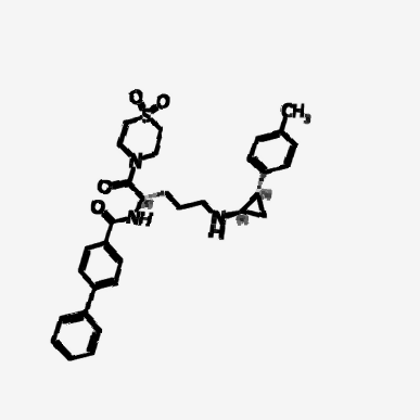 Cc1ccc([C@@H]2C[C@H]2NCCC[C@H](NC(=O)c2ccc(-c3ccccc3)cc2)C(=O)N2CCS(=O)(=O)CC2)cc1